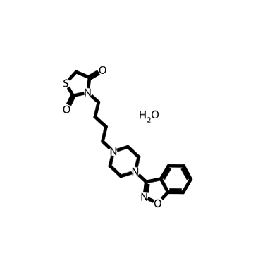 O.O=C1CSC(=O)N1CCCCN1CCN(c2noc3ccccc23)CC1